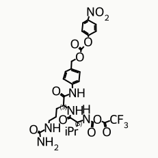 CC(C)[C@H](NC(=O)OC(=O)C(F)(F)F)C(=O)N[C@@H](CCCNC(N)=O)C(=O)Nc1ccc(COC(=O)Oc2ccc([N+](=O)[O-])cc2)cc1